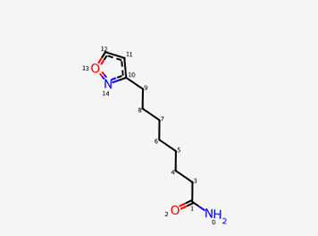 NC(=O)CCCCCCCc1ccon1